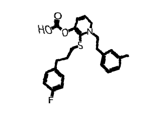 Cc1cccc(CCN2CC=CC(OC(=O)O)=C2SCCCc2ccc(F)cc2)c1